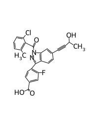 Cc1cccc(Cl)c1C(=O)n1nc(-c2ccc(C(=O)O)cc2F)c2ccc(C#CC(C)O)cc21